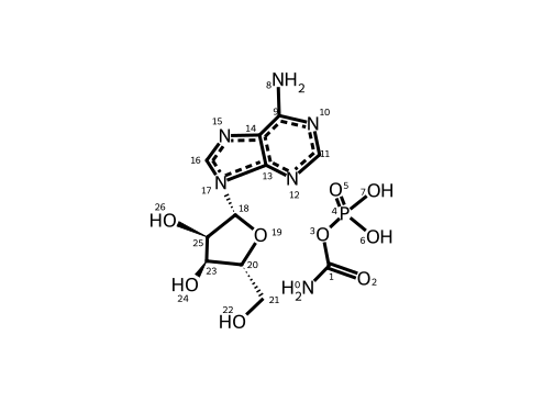 NC(=O)OP(=O)(O)O.Nc1ncnc2c1ncn2[C@@H]1O[C@H](CO)[C@@H](O)[C@H]1O